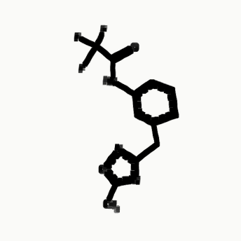 Cc1nc(Cc2cccc(NC(=O)C(F)(F)F)c2)no1